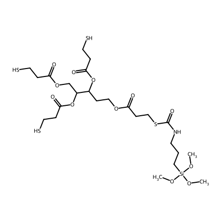 CO[Si](CCCNC(=O)SCCC(=O)OCCC(OC(=O)CCS)C(COC(=O)CCS)OC(=O)CCS)(OC)OC